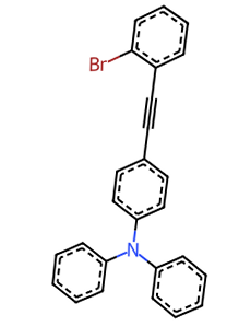 Brc1ccccc1C#Cc1ccc(N(c2ccccc2)c2ccccc2)cc1